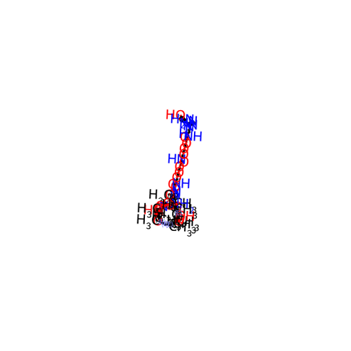 CCO[C@@H]1C[C@@H]([C@H](N)C[C@@H]2CC[C@H](n3cc(COC(=O)NCCOCCOCCOCCC(=O)NCCOCCOCCOCCC(=O)NCCCCn4nc(-c5cc6cc(O)ccc6[nH]5)c5c(N)ncnc54)nn3)[C@H](OC)C2)OC(=O)[C@@H]2CCCCN2C(=O)C(=O)[C@]2(O)O[C@@H](CC[C@H]2C)C[C@H](OC)/C(C)=C/C=C/C=C/[C@@H](C)C[C@@H](C)C(=O)[C@H](OC)[C@H](O)/C(C)=C/[C@H]1C